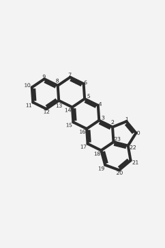 C1=Cc2c3cc4ccc5ccccc5c4cc3cc3cccc1c23